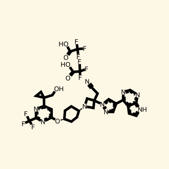 N#CCC1(n2cc(-c3ncnc4[nH]ccc34)cn2)CN([C@H]2CC[C@@H](Oc3cc(C4(CO)CC4)nc(C(F)(F)F)n3)CC2)C1.O=C(O)C(F)(F)F.O=C(O)C(F)(F)F